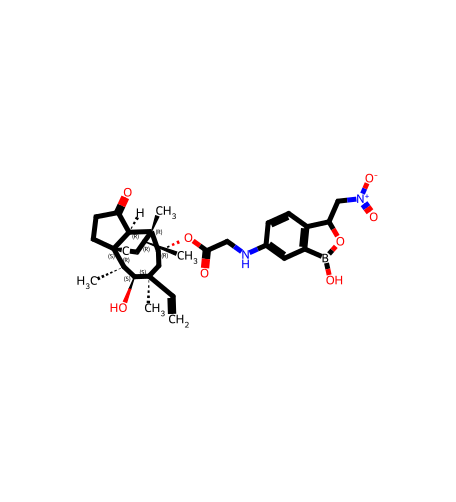 C=C[C@]1(C)C[C@@H](OC(=O)CNc2ccc3c(c2)B(O)OC3C[N+](=O)[O-])[C@]2(C)[C@H](C)CC[C@]3(CCC(=O)[C@H]32)[C@@H](C)[C@@H]1O